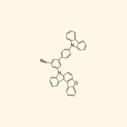 N#Cc1cc(-c2ccc(-n3c4ccccc4c4ccccc43)cc2)cc(-n2c3ccccc3c3c4c(ccc32)oc2ccccc24)c1